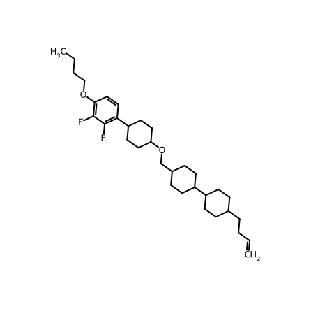 C=CCCC1CCC(C2CCC(COC3CCC(c4ccc(OCCCC)c(F)c4F)CC3)CC2)CC1